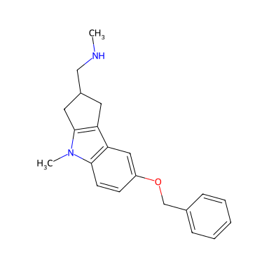 CNCC1Cc2c(n(C)c3ccc(OCc4ccccc4)cc23)C1